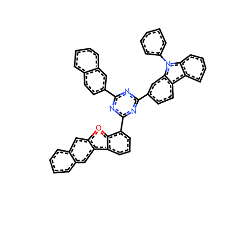 c1ccc(-n2c3ccccc3c3ccc(-c4nc(-c5ccc6ccccc6c5)nc(-c5cccc6c5oc5cc7ccccc7cc56)n4)cc32)cc1